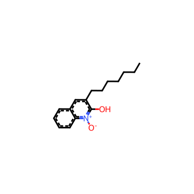 CCCCCCCc1cc2ccccc2[n+]([O-])c1O